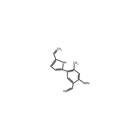 C=Cc1ccc(-c2cc(C=N)c(NC)cc2C)[nH]1